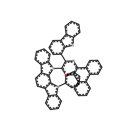 c1ccc(-n2c3ccccc3c3ccc4c5ccccc5n(-c5nc6c7ccccc7c7ccccc7c6nc5-c5cccc6c5sc5ccccc56)c4c32)cc1